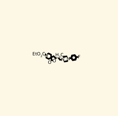 CCOC(=O)N1CCC2(CC1)C[C@H](CCN1CCN(c3ccc(F)cc3)C[C@@H]1C)OC2=O